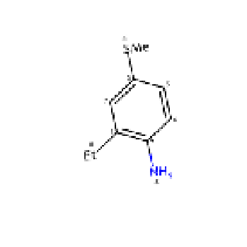 CCc1cc(SC)ccc1N